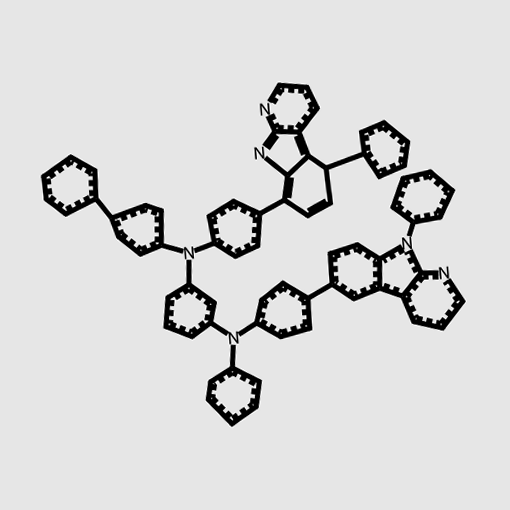 C1=CC(c2ccccc2)C2=c3cccnc3=NC2=C1c1ccc(N(c2ccc(-c3ccccc3)cc2)c2cccc(N(c3ccccc3)c3ccc(-c4ccc5c(c4)c4cccnc4n5-c4ccccc4)cc3)c2)cc1